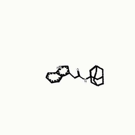 O=C(Cc1c[nH]c2ccccc12)NC12CC3CC(CC(C3)C1)C2